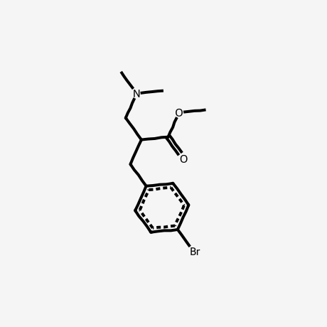 COC(=O)C(Cc1ccc(Br)cc1)CN(C)C